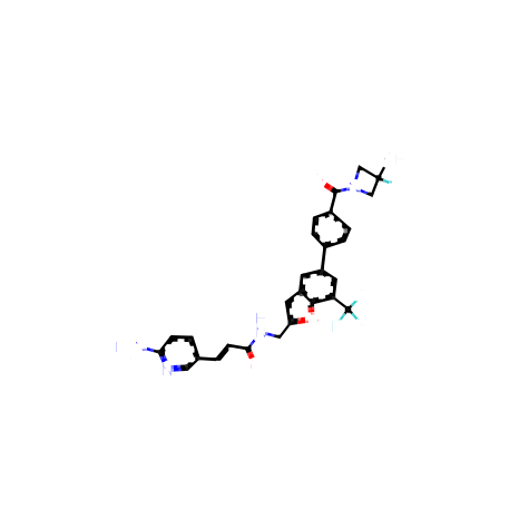 CC1(F)CN(C(=O)c2ccc(-c3cc(C(F)(F)F)c4oc(CNC(=O)/C=C/c5ccc(N)nc5)cc4c3)cc2)C1